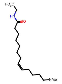 CNCCCC/C=C\CCCCCCC(=O)NCC(=O)O